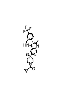 Cc1nc(N[C@H](C)c2cccc(C(F)(F)F)c2)c2cc(P3(=O)CCN(C(=O)C4CC4)CC3)ncc2n1